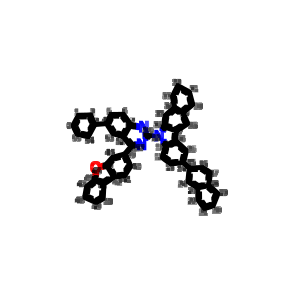 c1ccc(-c2ccc3nc(-n4c5ccc(-c6ccc7ccccc7c6)cc5c5cc6ccccc6cc54)nc(-c4ccc5c(c4)oc4ccccc45)c3c2)cc1